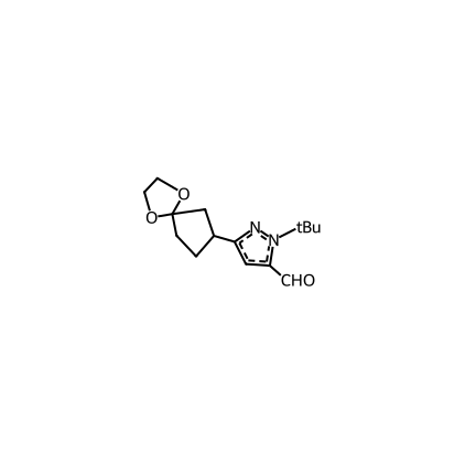 CC(C)(C)n1nc(C2CCC3(C2)OCCO3)cc1C=O